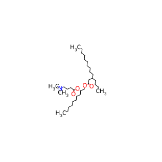 CCCCCCCCCCC(CCCC)CC(=O)OCC(CCCCCCCC)OC(=O)CCCN(C)C